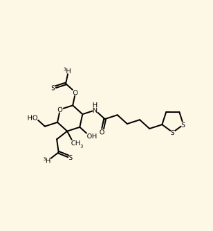 [3H]C(=S)CC1(C)C(CO)OC(OC([3H])=S)C(NC(=O)CCCCC2CCSS2)C1O